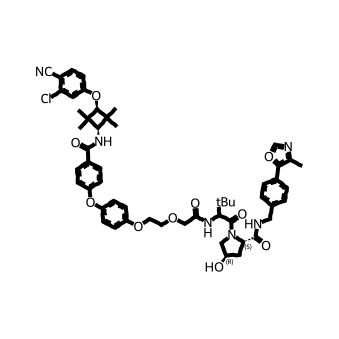 Cc1ncoc1-c1ccc(CNC(=O)[C@@H]2C[C@@H](O)CN2C(=O)C(NC(=O)COCCOc2ccc(Oc3ccc(C(=O)N[C@H]4C(C)(C)[C@H](Oc5ccc(C#N)c(Cl)c5)C4(C)C)cc3)cc2)C(C)(C)C)cc1